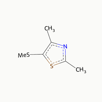 CSc1sc(C)nc1C